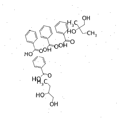 CCC(C)(O)CO.CCC(O)CO.O=C(O)c1ccccc1.O=C(O)c1ccccc1.O=C(O)c1ccccc1.O=C(O)c1ccccc1